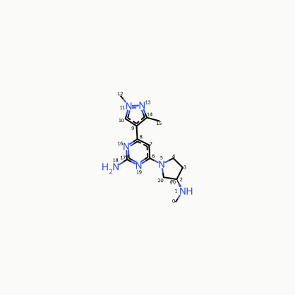 CN[C@@H]1CCN(c2cc(-c3cn(C)nc3C)nc(N)n2)C1